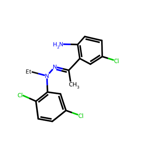 CCN(/N=C(\C)c1cc(Cl)ccc1N)c1cc(Cl)ccc1Cl